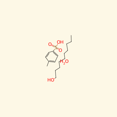 CCCCCCCCCCO.Cc1ccc(S(=O)(=O)O)cc1.O